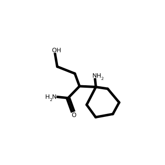 NC(=O)C(CCO)C1(N)CCCCC1